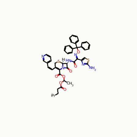 CC(C)CCC(=O)OC(C)OC(=O)C1=C(/C=C\c2cccnc2)CS[C@H]2[C@H](NC(=O)C(=NOC(c3ccccc3)(c3ccccc3)c3ccccc3)c3csc(N)n3)C(=O)N12